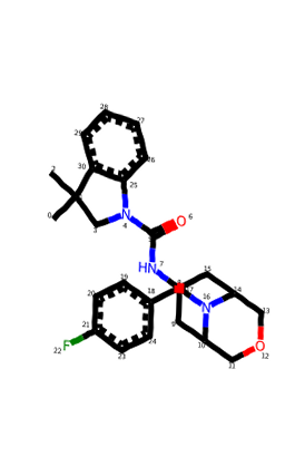 CC1(C)CN(C(=O)NC2CC3COCC(C2)N3Cc2ccc(F)cc2)c2ccccc21